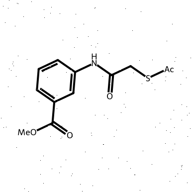 COC(=O)c1cccc(NC(=O)CSC(C)=O)c1